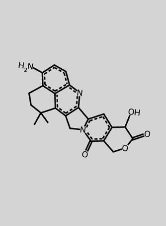 CC1(C)CCc2c(N)ccc3nc4c(c1c23)Cn1c-4cc2c(c1=O)COC(=O)C2O